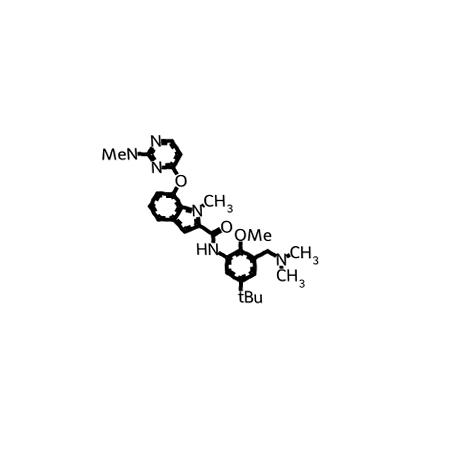 CNc1nccc(Oc2cccc3cc(C(=O)Nc4cc(C(C)(C)C)cc(CN(C)C)c4OC)n(C)c23)n1